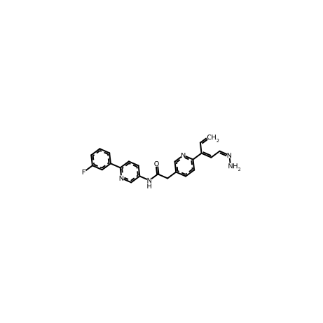 C=C/C(=C\C=N/N)c1ccc(CC(=O)Nc2ccc(-c3cccc(F)c3)nc2)cn1